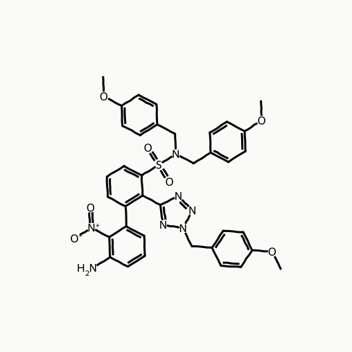 COc1ccc(CN(Cc2ccc(OC)cc2)S(=O)(=O)c2cccc(-c3cccc(N)c3[N+](=O)[O-])c2-c2nnn(Cc3ccc(OC)cc3)n2)cc1